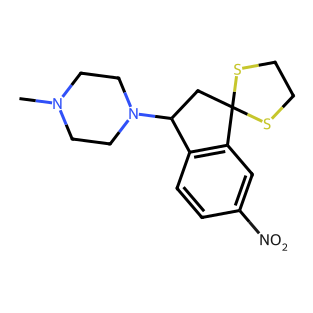 CN1CCN(C2CC3(SCCS3)c3cc([N+](=O)[O-])ccc32)CC1